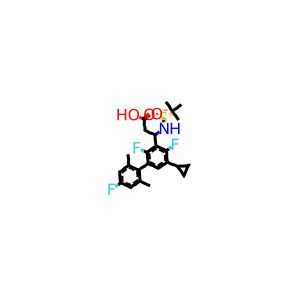 Cc1cc(F)cc(C)c1-c1cc(C2CC2)c(F)c(C(CC(=O)O)N[S@+]([O-])C(C)(C)C)c1F